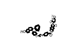 O=C1CCC(N2Cc3cc4c(cc3C2=O)CN(C(=O)C2CCC(N3CC(Oc5ccc([C@@H]6c7ccc(O)cc7CC[C@@H]6c6ccccc6)cc5)C3)CC2)C4)C(=O)N1